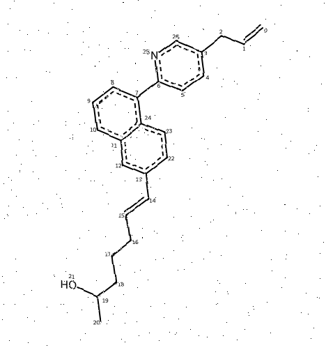 C=CCc1ccc(-c2cccc3cc(C=CCCCC(C)O)ccc23)nc1